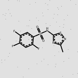 Cc1nsc(NS(=O)(=O)c2cc(F)c(F)cc2F)n1